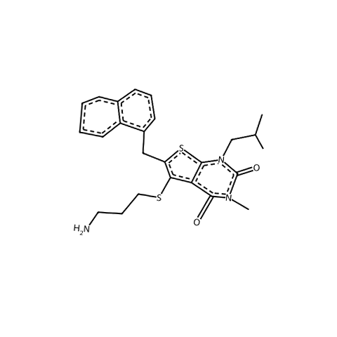 CC(C)Cn1c(=O)n(C)c(=O)c2c(SCCCN)c(Cc3cccc4ccccc34)sc21